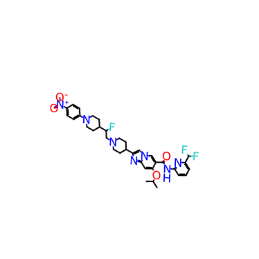 CC(C)Oc1cc2nc(C3CCN(CC(F)C4CCN(c5ccc([N+](=O)[O-])cc5)CC4)CC3)cn2cc1C(=O)Nc1cccc(C(F)F)n1